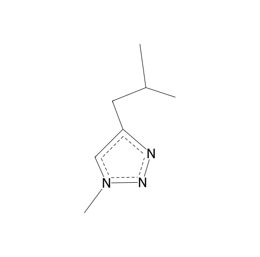 CC(C)Cc1cn(C)nn1